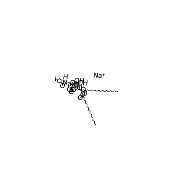 CCCCCCCCCCCCCCCCCC(=O)OCC(CO[C@H]1O[C@H](CS(=O)(=O)[O-])[C@@H](OC(=O)CCNC(=O)c2ccc(I)cc2)[C@H](O)[C@H]1O)OC(=O)CCCCCCCCCCCCCCCCC.[Na+]